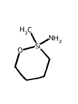 C[Si]1(N)CCCCO1